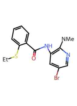 CCSc1ccccc1C(=O)Nc1cc(Br)cnc1NC